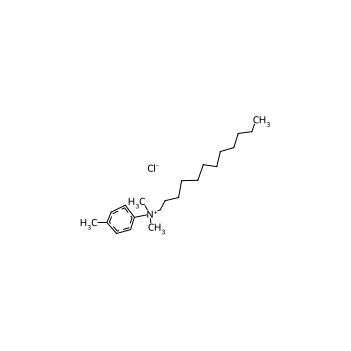 CCCCCCCCCCCC[N+](C)(C)c1ccc(C)cc1.[Cl-]